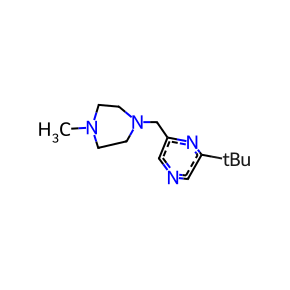 CN1CCN(Cc2cncc(C(C)(C)C)n2)CC1